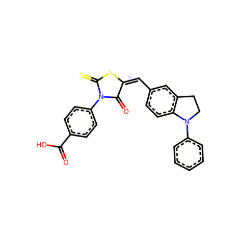 O=C(O)c1ccc(N2C(=O)/C(=C\c3ccc4c(c3)CCN4c3ccccc3)SC2=S)cc1